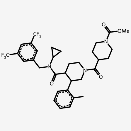 COC(=O)N1CCC(C(=O)N2CCC(C(=O)N(Cc3cc(C(F)(F)F)cc(C(F)(F)F)c3)C3CC3)C(c3ccccc3C)C2)CC1